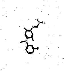 CCN(C)C=Nc1cc(C)c(N(C)c2cccc(F)c2)cc1C